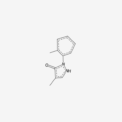 Cc1ccccc1-n1[nH]cc(C)c1=O